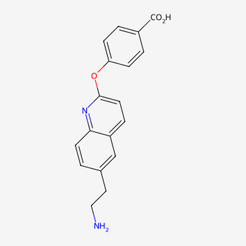 NCCc1ccc2nc(Oc3ccc(C(=O)O)cc3)ccc2c1